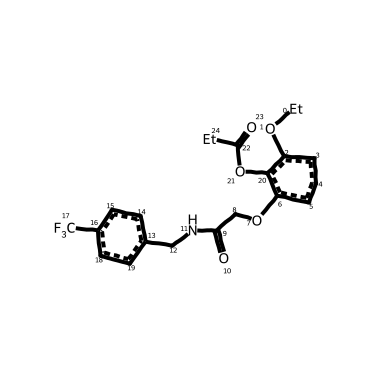 CCOc1cccc(OCC(=O)NCc2ccc(C(F)(F)F)cc2)c1OC(=O)CC